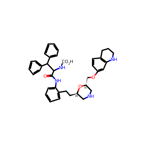 O=C(O)NC(C(=O)Nc1ccccc1CC[C@@H]1CNC[C@@H](COc2ccc3c(c2)NCCC3)O1)C(c1ccccc1)c1ccccc1